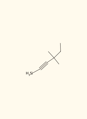 CCC(C)(C)C#C[SiH3]